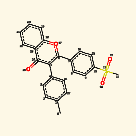 Cc1ccc(-c2c(-c3ccc(S(C)(=O)=O)cc3)oc3ccccc3c2=O)cc1